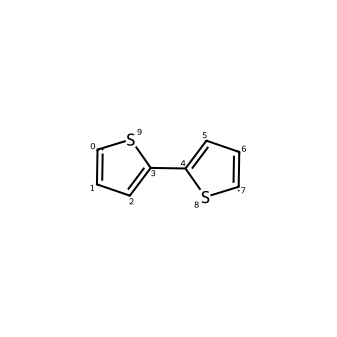 [c]1ccc(-c2cc[c]s2)s1